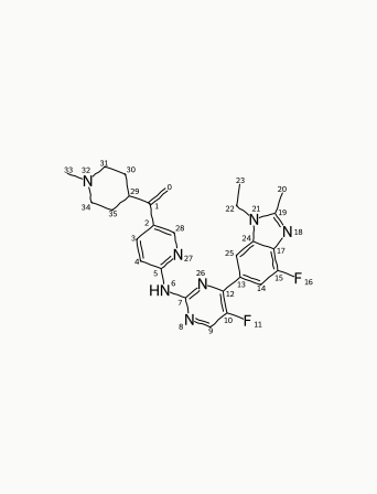 C=C(c1ccc(Nc2ncc(F)c(-c3cc(F)c4nc(C)n(CC)c4c3)n2)nc1)C1CCN(C)CC1